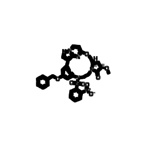 CO[C@@H]1C[C@H]2COc3ccn4ncc(c4n3)-c3cc(OCc4ccccc4)cc(c3)N(S(=O)(=O)c3ccccc3[N+](=O)[O-])CCN2C1=O